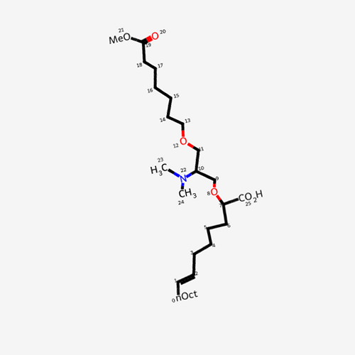 CCCCCCCCC=CCCCCC(OCC(COCCCCCCC(=O)OC)N(C)C)C(=O)O